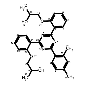 Cc1ccc(-c2nc(-c3ccccc3OCC(C)O)nc(-c3ccccc3OCC(C)O)n2)c(C)c1